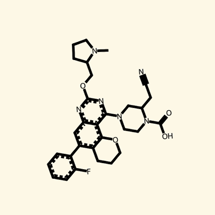 CN1CCCC1COc1nc(N2CCN(C(=O)O)C(CC#N)C2)c2c3c(c(-c4ccccc4F)cc2n1)CCCO3